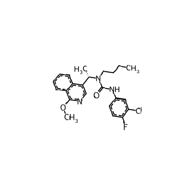 CCCCN(C(=O)Nc1ccc(F)c(Cl)c1)[C@@H](C)c1cnc(OC)c2ccccc12